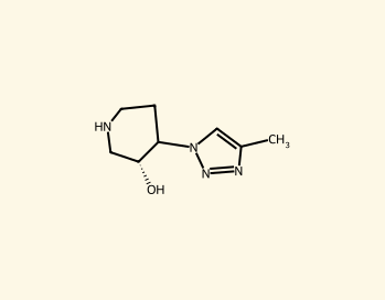 Cc1cn(C2CCNC[C@H]2O)nn1